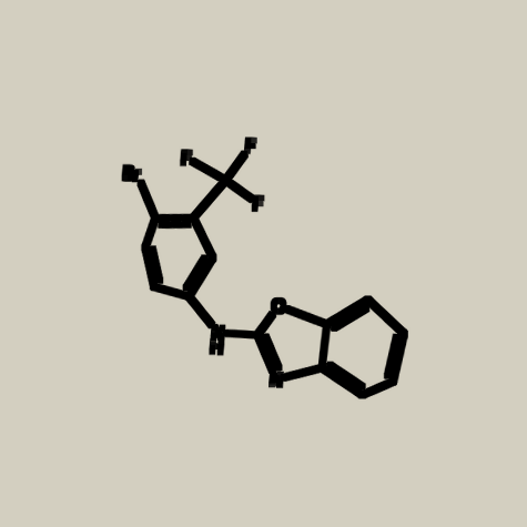 FC(F)(F)c1cc(Nc2nc3ccccc3o2)ccc1Br